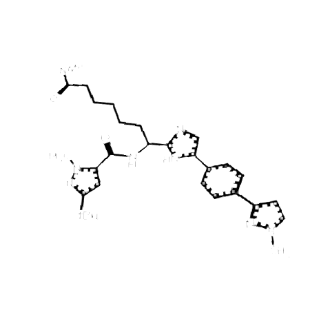 CNC(=O)CCCCCC(NC(=O)c1cc(C(C)(C)C)nn1C)c1ncc(-c2ccc(-c3ccn(C)n3)cc2)[nH]1